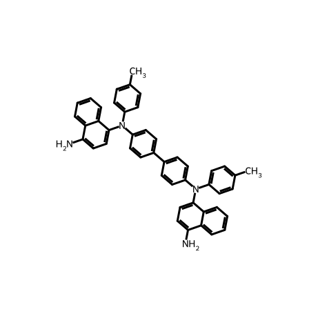 Cc1ccc(N(c2ccc(-c3ccc(N(c4ccc(C)cc4)c4ccc(N)c5ccccc45)cc3)cc2)c2ccc(N)c3ccccc23)cc1